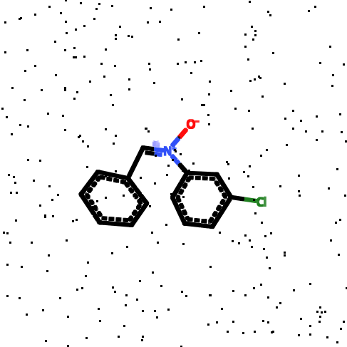 [O-]/[N+](=C/c1ccccc1)c1cccc(Cl)c1